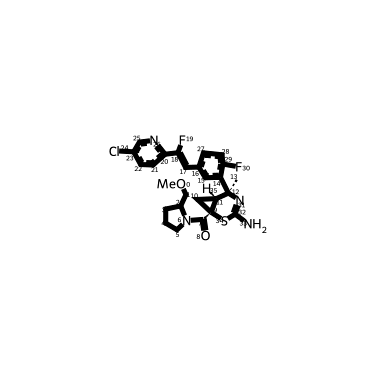 COCC1CCCN1C(=O)[C@]12C[C@H]1[C@@](C)(c1cc(/C=C(\F)c3ccc(Cl)cn3)ccc1F)N=C(N)S2